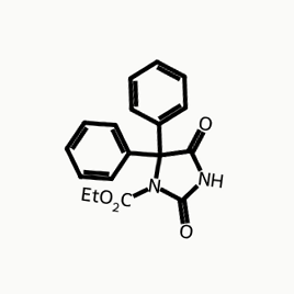 CCOC(=O)N1C(=O)NC(=O)C1(c1ccccc1)c1ccccc1